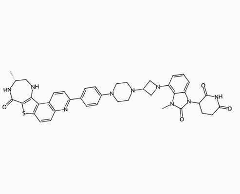 C[C@@H]1CNc2c(sc3ccc4nc(-c5ccc(N6CCN(C7CN(c8cccc9c8n(C)c(=O)n9C8CCC(=O)NC8=O)C7)CC6)cc5)ccc4c23)C(=O)N1